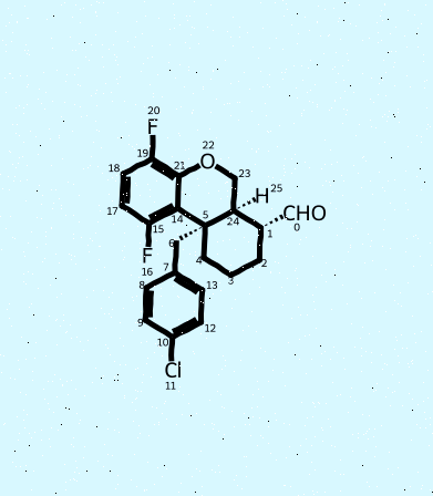 O=C[C@@H]1CCC[C@@]2(Cc3ccc(Cl)cc3)c3c(F)ccc(F)c3OC[C@@H]12